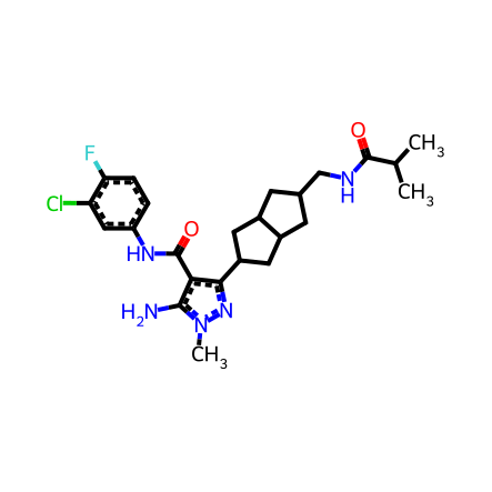 CC(C)C(=O)NCC1CC2CC(c3nn(C)c(N)c3C(=O)Nc3ccc(F)c(Cl)c3)CC2C1